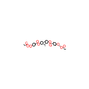 C=CC(=O)OCCOc1ccc(C(=O)Oc2ccc3c(c2)C(C)c2cc(OC(=O)c4ccc(OCOC(=O)C=C)cc4)ccc2-3)cc1